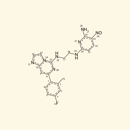 Cc1cc(F)ccc1-c1cc2nccn2c(NCCNc2ccc(N=O)c(N)n2)n1